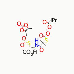 Cc1oc(=O)oc1COC(=O)SC[C@H](NC(=O)C(C)(C)SC(=O)OCOC(=O)C(C)C)C(=O)O